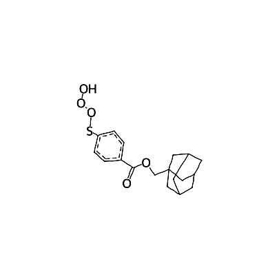 O=C(OCC12CC3CC(CC(C3)C1)C2)c1ccc(SOOO)cc1